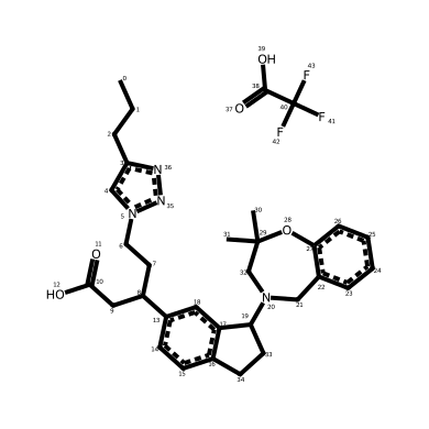 CCCc1cn(CCC(CC(=O)O)c2ccc3c(c2)C(N2Cc4ccccc4OC(C)(C)C2)CC3)nn1.O=C(O)C(F)(F)F